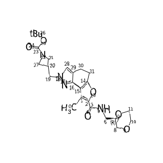 Cc1c(C(=O)NC[C@@H]2COCCO2)oc2c1-c1nn(CC3CN(C(=O)OC(C)(C)C)C3)cc1CC2